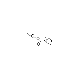 CCOCOC(=O)C1CC2CCC1C2